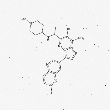 CC(=O)N1CCC(NC(C)c2nc3c(-c4cnc5ccc(F)cc5c4)cnn3c(N)c2Br)CC1